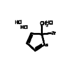 C[C]1([Zr])C=CC=[As]1.Cl.Cl.Cl